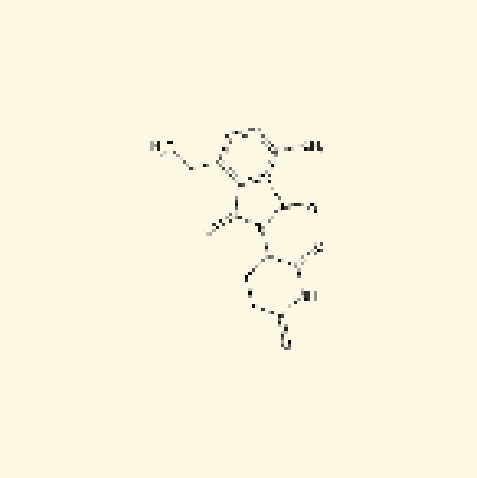 CCc1ccc(C)c2c1C(=O)N(C1CCC(=O)NC1=O)C2=O